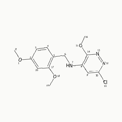 COc1ccc(CNc2cc(Cl)nnc2OC)c(OC)c1